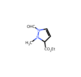 CCOC(=O)C1C=CN(C=O)N1C